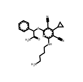 N#Cc1c(NCCCCN)nc(SC(C(N)=O)c2ccccc2)c(C#N)c1C1CC1